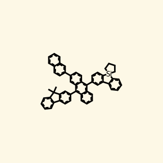 CC1(C)c2ccccc2-c2ccc(-c3c4ccccc4c(-c4ccc5c(c4)-c4ccccc4[Si]54CCCC4)c4ccc(-c5ccc6ccccc6c5)cc34)cc21